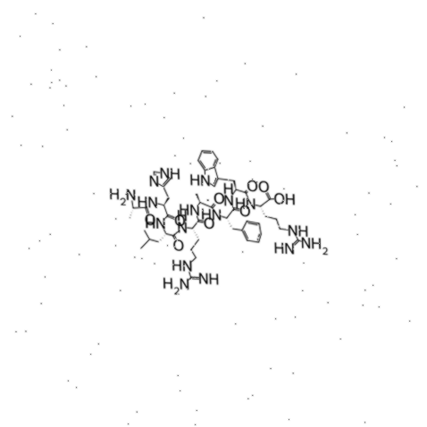 CC(C)C[C@H](NC(=O)[C@H](Cc1c[nH]cn1)NC(=O)[C@H](C)N)C(=O)N[C@@H](CCCNC(=N)N)C(=O)N[C@@H](C)C(=O)N[C@@H](Cc1ccccc1)C(=O)N[C@@H](Cc1c[nH]c2ccccc12)C(=O)N[C@@H](CCCNC(=N)N)C(=O)O